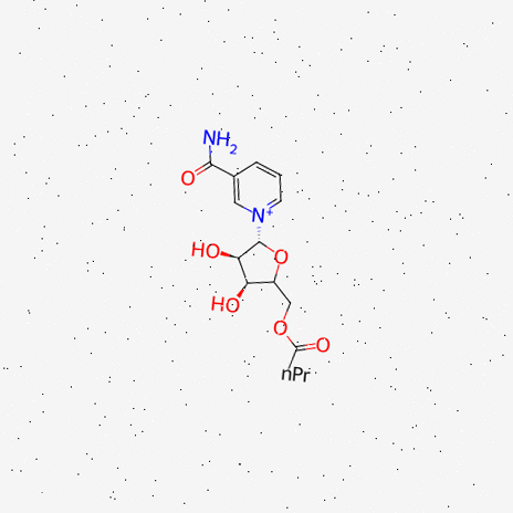 CCCC(=O)OCC1O[C@@H]([n+]2cccc(C(N)=O)c2)[C@H](O)[C@@H]1O